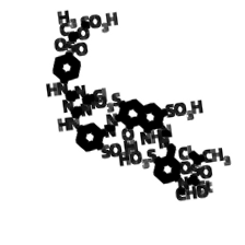 CCC(N(C=O)c1ccc(S(=O)(=O)O)c(CN=Nc2c(S(=O)(=O)O)cc3cc(S(=O)(=O)O)c(/N=N/c4cc(Nc5nc(Cl)nc(Nc6ccc(S(=O)(=O)C(C)OS(=O)(=O)O)cc6)n5)ccc4S(=O)(=O)O)c(O)c3c2N)c1)S(=O)(=O)C(C)Cl